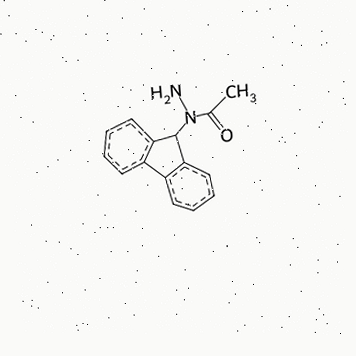 CC(=O)N(N)C1c2ccccc2-c2ccccc21